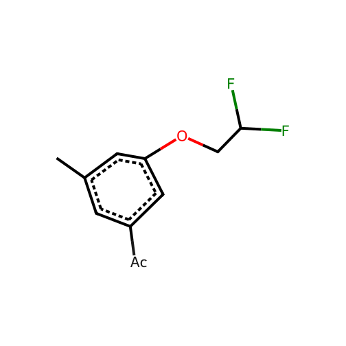 CC(=O)c1cc(C)cc(OCC(F)F)c1